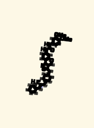 COc1ccc(NC(=O)Nc2ccc3c(c2)OCC2C3=NOC2CN2CCN(C/C(C)=C/c3ccccc3)CC2)cc1OC